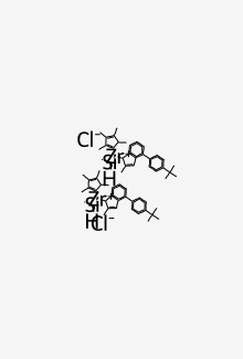 CC1=Cc2c(-c3ccc(C(C)(C)C)cc3)cccc2[CH]1[Zr+]([C]1=C(C)C(C)=C(C)C1C)[SiH](C)C.CC1=Cc2c(-c3ccc(C(C)(C)C)cc3)cccc2[CH]1[Zr+]([C]1=C(C)C(C)=C(C)C1C)[SiH](C)C.[Cl-].[Cl-]